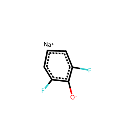 [Na+].[O-]c1c(F)cccc1F